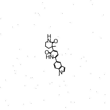 Cn1ccc2cc(-c3ccc(C4(C)CCCNC4=O)c(=O)[nH]3)ccc21